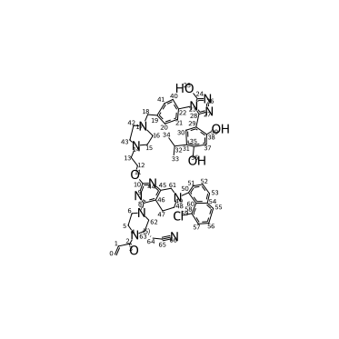 C=CC(=O)N1CCN(c2nc(OCCN3CCN(Cc4ccc(-n5c(O)nnc5-c5cc(C(C)C)c(O)cc5O)cc4)CC3)nc3c2CCN(c2cccc4cccc(Cl)c24)C3)C[C@@H]1CC#N